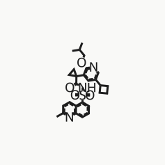 Cc1ccc2c(S(=O)(=O)NC(=O)C3(c4cc(C5CCC5)cnc4OCC(C)C)CC3)cccc2n1